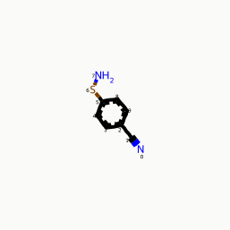 N#Cc1ccc(SN)cc1